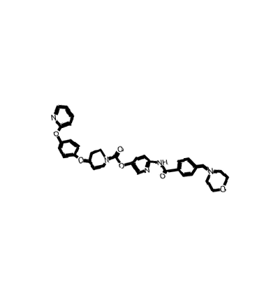 O=C(Nc1ccc(OC(=O)N2CCC(Oc3ccc(Oc4ccccn4)cc3)CC2)cn1)c1ccc(CN2CCOCC2)cc1